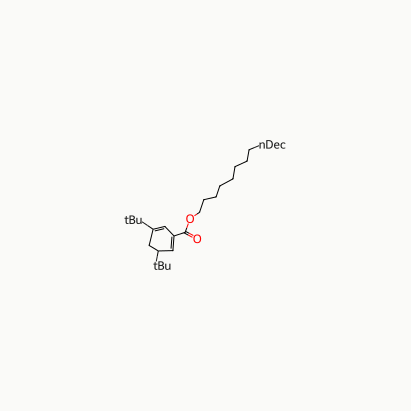 CCCCCCCCCCCCCCCCCCOC(=O)C1=CC(C(C)(C)C)CC(C(C)(C)C)=C1